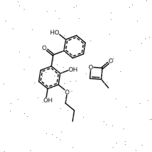 CC1=COC1=O.CCCOc1c(O)ccc(C(=O)c2ccccc2O)c1O